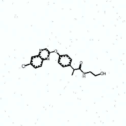 CC(C(=O)NCCO)c1ccc(Oc2cnc3cc(Cl)ccc3n2)cc1